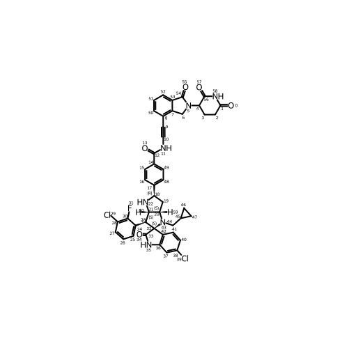 O=C1CCC(N2Cc3c(C#CNC(=O)c4ccc([C@H]5C[C@H]6[C@@H](N5)[C@H](c5cccc(Cl)c5F)[C@]5(C(=O)Nc7cc(Cl)ccc75)N6CC5CC5)cc4)cccc3C2=O)C(=O)N1